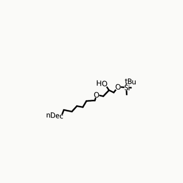 CCCCCCCCCCCCCCCCOCC(O)CO[Si](C)(C)C(C)(C)C